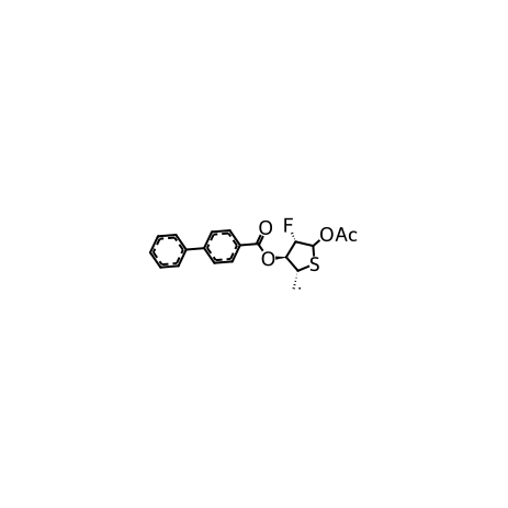 [CH2][C@H]1SC(OC(C)=O)[C@@H](F)[C@@H]1OC(=O)c1ccc(-c2ccccc2)cc1